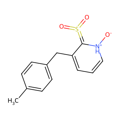 Cc1ccc(CC2=CC=C[NH+]([O-])C2=S(=O)=O)cc1